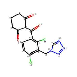 O=C1CCCC(=O)C1C(=O)c1ccc(Cl)c(Cn2cnnn2)c1Cl